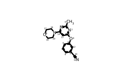 Cc1nc(Oc2cccc(C#N)c2)cc(N2CCOCC2)n1